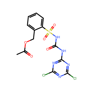 CC(=O)OCc1ccccc1S(=O)(=O)NC(=O)Nc1nc(Cl)nc(Cl)n1